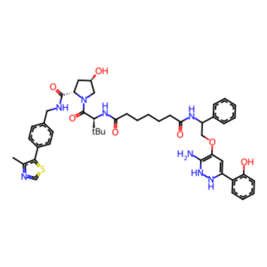 Cc1ncsc1-c1ccc(CNC(=O)[C@@H]2C[C@@H](O)CN2C(=O)[C@@H](NC(=O)CCCCCC(=O)NC(COC2=C(N)NNC(c3ccccc3O)=C2)c2ccccc2)C(C)(C)C)cc1